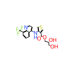 O=C(OCC(O)CO)c1cscc1Nc1ccnc2c(C(F)(F)F)cccc12